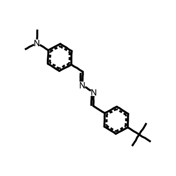 CN(C)c1ccc(/C=N/N=C/c2ccc(C(C)(C)C)cc2)cc1